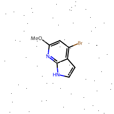 COc1cc(Br)c2cc[nH]c2n1